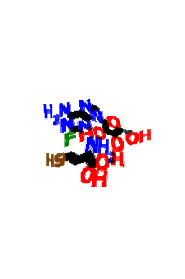 N[C@@H](CCS)C(=O)O.Nc1nc(F)nc2c1ncn2[C@@H]1O[C@H](CO)[C@@H](O)[C@H]1O